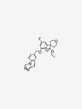 CCOC(=O)C1(c2cc(F)cc(OCc3ccc4c(ccc5nncn54)c3)c2)CCOCC1